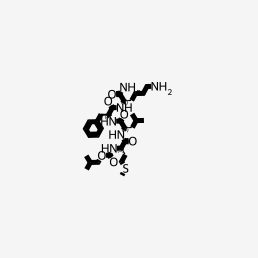 CSCC[C@H](NC(=O)OCC(C)C)C(=O)N[C@@H](CC(C)C)C(=O)N[C@@H](Cc1ccccc1)C(=O)N[C@@H](CCCCN)C(N)=O